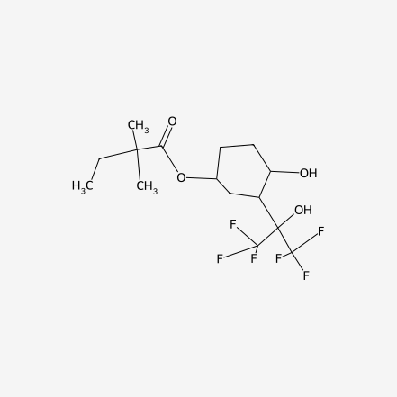 CCC(C)(C)C(=O)OC1CCC(O)C(C(O)(C(F)(F)F)C(F)(F)F)C1